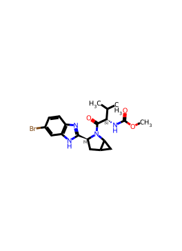 COC(=O)N[C@H](C(=O)N1C2CC2C[C@H]1c1nc2ccc(Br)cc2[nH]1)C(C)C